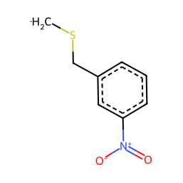 [CH2]SCc1cccc([N+](=O)[O-])c1